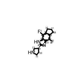 Fc1c2c(c(F)c3[nH]c([C@H]4CCNC4)nc13)CCC2